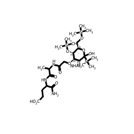 CC(=O)N[C@@H]1[C@@H](OCC(=O)NC(C)C(=O)NC(CCC(=O)O)C(N)=O)[C@H](O[Si](C)(C)C)[C@@H](CO[Si](C)(C)C)OC1(O)[Si](C)(C)C